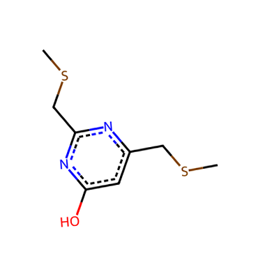 CSCc1cc(O)nc(CSC)n1